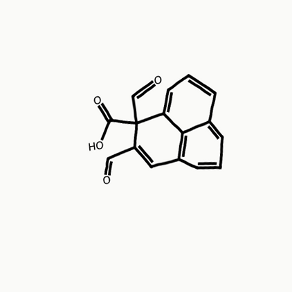 O=CC1=Cc2cccc3cccc(c23)C1(C=O)C(=O)O